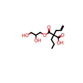 C=CCC(CCC)(C(=O)O)C(=O)OCC(O)CO